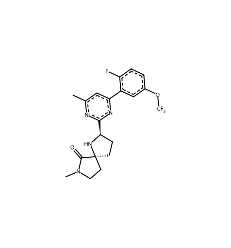 Cc1cc(-c2cc(OC(F)(F)F)ccc2F)nc([C@H]2CC[C@@]3(CCN(C)C3=O)N2)n1